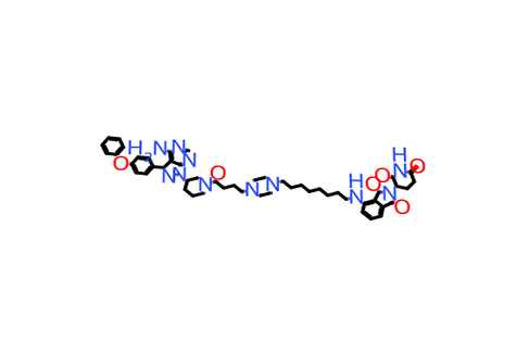 Nc1ncnc2c1c(-c1ccc(Oc3ccccc3)cc1)nn2C1CCCN(C(=O)CCCN2CCN(CCCCCCCCNc3cccc4c3C(=O)N(C3CCC(=O)NC3=O)C4=O)CC2)C1